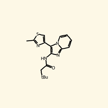 Cc1nc(-c2c(NC(=O)CC(C)(C)C)nc3ccccn23)cs1